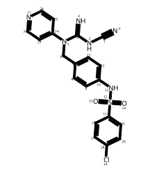 N#CNC(=N)N(Cc1ccc(NS(=O)(=O)c2ccc(Cl)cc2)cc1)c1ccncc1